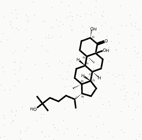 CC(CCCC(C)(C)O)[C@H]1CC[C@H]2[C@@H]3CCC4(O)C(=O)[C@@H](O)CC[C@]4(C)[C@H]3CC[C@]12C